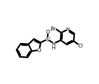 [O-][S+](Nc1cc(Cl)cnc1Br)c1cc2ccccc2o1